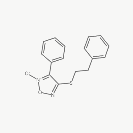 [O-][n+]1onc(SCCc2ccccc2)c1-c1ccccc1